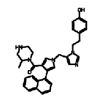 CC1CNCCN1C(=O)c1cn(Cc2cncn2CCc2ccc(O)cc2)cc1-c1cccc2ccccc12